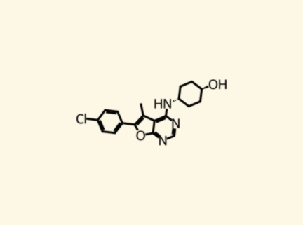 Cc1c(-c2ccc(Cl)cc2)oc2ncnc(N[C@H]3CC[C@H](O)CC3)c12